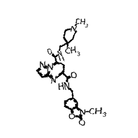 CN1CCC(C)(CNC(=O)c2cc(C(=O)NCc3ccc4oc(=O)n(C)c4c3)nc3ccnn23)CC1